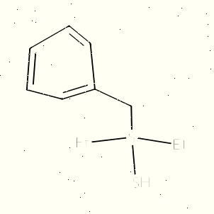 CCS(S)(CC)Cc1ccccc1